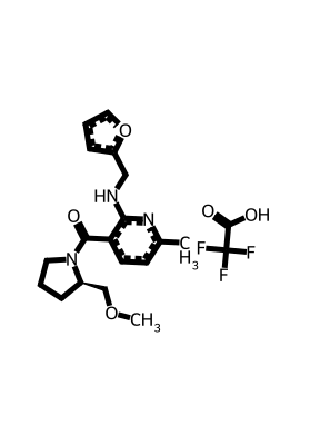 COC[C@H]1CCCN1C(=O)c1ccc(C)nc1NCc1ccco1.O=C(O)C(F)(F)F